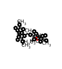 Cc1ccc(N(c2ccc(C)cc2)c2c3ccccc3cc3c2c2cccc4c5c(N(c6ccc(C)cc6)c6ccc(Cc7ccc(N(c8cc(C)ccc8C)c8c9ccccc9cc9c8c8cccc%10c%11c(N(c%12ccccc%12)c%12cc(C)ccc%12C)c%12ccccc%12cc%11n9c%108)cc7)cc6)c6ccccc6cc5n3c24)cc1